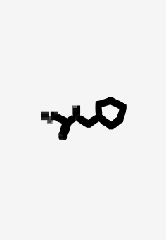 NC(=O)NCC1CCCCC1